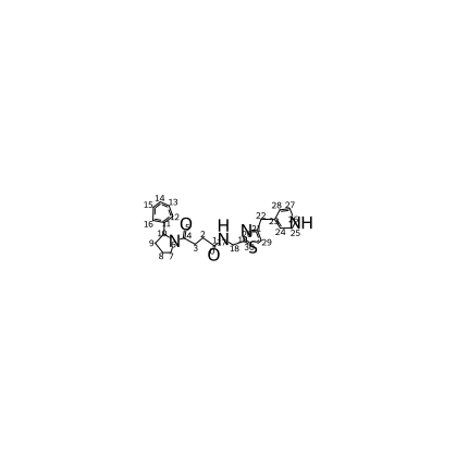 O=C(CCC(=O)N1CCCC1c1ccccc1)NCc1nc(CC2=CCNC=C2)cs1